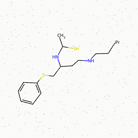 CC(C)CCNCCC(CSc1ccccc1)NC(C)S